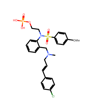 COc1ccc(S(=O)(=O)N(CCOP(=O)(O)O)c2ccccc2CN(C)C/C=C/c2ccc(Cl)cc2)cc1